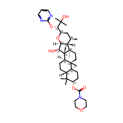 C[C@@H]1C[C@H]([C@H](Oc2ncccn2)C(C)(C)O)O[C@H]2[C@H]1[C@@]1(C)CC[C@@]34C[C@@]35CC[C@H](OC(=O)N3CCOCC3)C(C)(C)[C@@H]5CC[C@H]4[C@]1(C)[C@H]2O